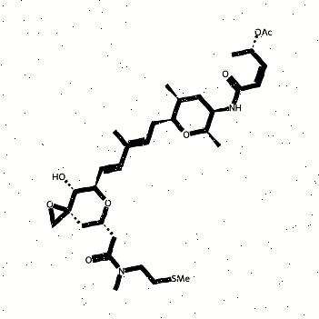 CSCCN(C)C(=O)C[C@@H]1C[C@@]2(CO2)[C@H](O)[C@@H](/C=C/C(C)=C/C[C@@H]2O[C@H](C)[C@H](NC(=O)/C=C\[C@H](C)OC(C)=O)C[C@@H]2C)O1